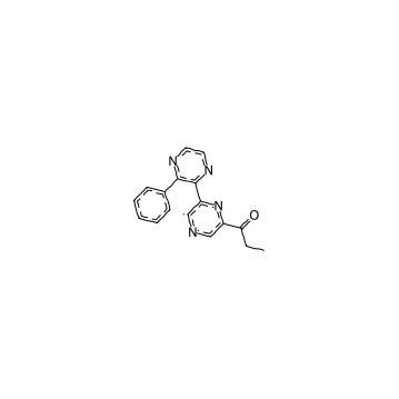 CCC(=O)c1cn[c]c(-c2nccnc2-c2ccccc2)n1